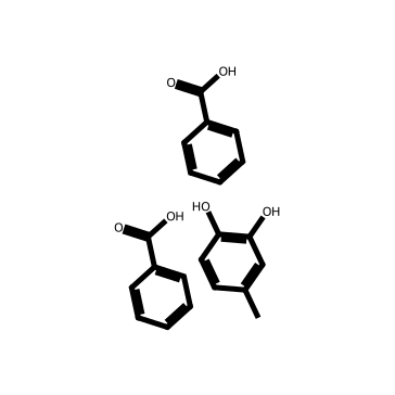 Cc1ccc(O)c(O)c1.O=C(O)c1ccccc1.O=C(O)c1ccccc1